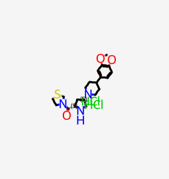 Cl.Cl.O=C([C@@H]1C[C@H](N2CCC(c3ccc4c(c3)OCO4)CC2)CN1)N1CCSC1